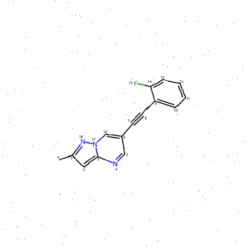 Cc1cc2ncc(C#Cc3ccccc3F)cn2n1